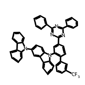 FC(F)(F)c1cccc(-c2ccc(-c3nc(-c4ccccc4)nc(-c4ccccc4)n3)cc2-n2c3ccccc3c3cc(-n4c5ccccc5c5ccccc54)ccc32)c1